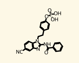 N#Cc1ccc2c(c1)nc(NC(=O)c1ccccc1)n2CCc1ccc(OP(=O)(O)O)cc1